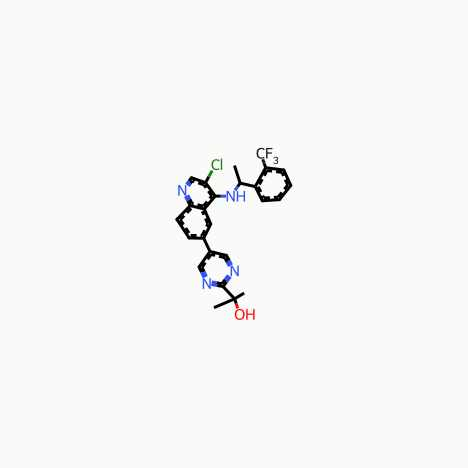 CC(Nc1c(Cl)cnc2ccc(-c3cnc(C(C)(C)O)nc3)cc12)c1ccccc1C(F)(F)F